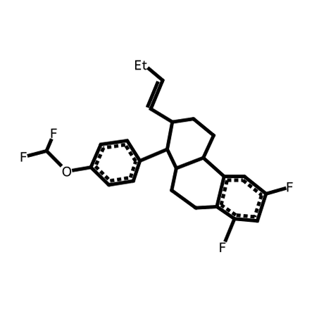 CCC=CC1CCC2c3cc(F)cc(F)c3CCC2C1c1ccc(OC(F)F)cc1